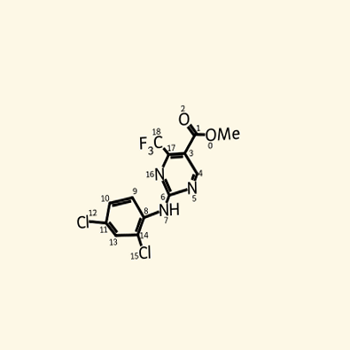 COC(=O)c1cnc(Nc2ccc(Cl)cc2Cl)nc1C(F)(F)F